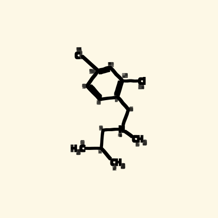 CC(C)CN(C)Cc1ccc(Cl)cc1Cl